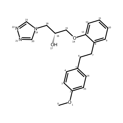 COc1ccc(CCc2ccccc2OC[C@H](O)Cn2cnnc2)cc1